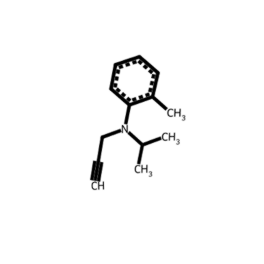 C#CCN(c1ccccc1C)C(C)C